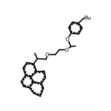 CCC(C)c1ccc(OC(C)OCCOCC(C)c2ccc3ccc4cccc5ccc2c3c45)cc1